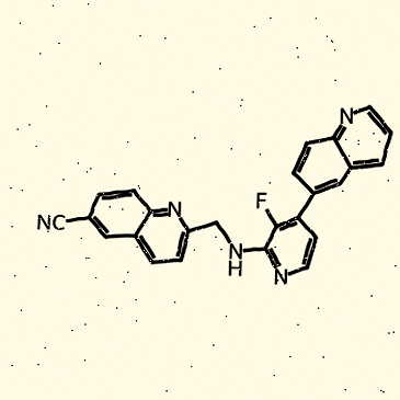 N#Cc1ccc2nc(CNc3nccc(-c4ccc5ncccc5c4)c3F)ccc2c1